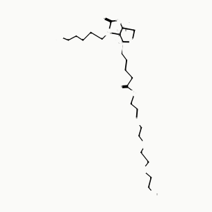 CCCCCCN1C(=O)N[C@H]2CS[C@@H](CCCCC(=O)NCCOCCOCCOCCO)[C@H]21